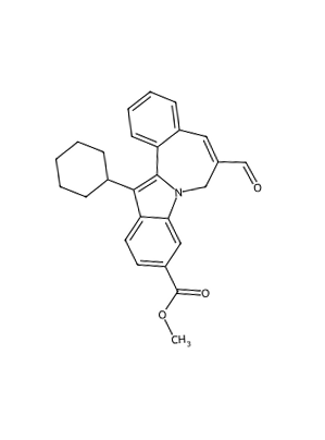 COC(=O)c1ccc2c(C3CCCCC3)c3n(c2c1)CC(C=O)=Cc1ccccc1-3